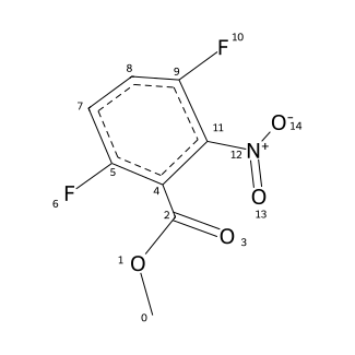 COC(=O)c1c(F)ccc(F)c1[N+](=O)[O-]